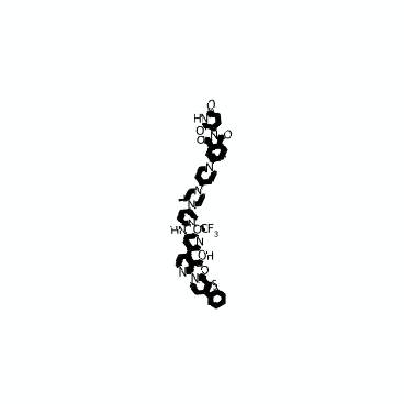 C[C@H]1CN(C2CCN(c3ccc4c(c3)C(=O)N(C3CCC(=O)NC3=O)C4=O)CC2)CCN1c1ccc(Nc2cc(-c3ccnc(N4CCc5c(sc6c5CCCC6)C4=O)c3CO)cnc2OC(F)(F)F)nc1